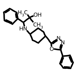 CC(C)(O)C(NC1CCC(c2nnc(-c3ccccc3)o2)CC1)c1ccccc1